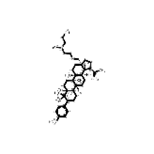 C=C(C)[C@@H]1CC[C@]2(CNCCN(CCC)CCO)CC[C@]3(C)[C@H](CC[C@@H]4[C@@]5(C)CC=C(c6ccc(C(=O)O)cc6)C(C)(C)[C@@H]5CC[C@]43C)[C@@H]12